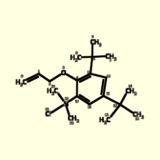 C=CCOc1c(C(C)(C)C)cc(C(C)(C)C)cc1[Si](C)(C)Cl